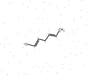 [CH2]C=CCC=C[O]